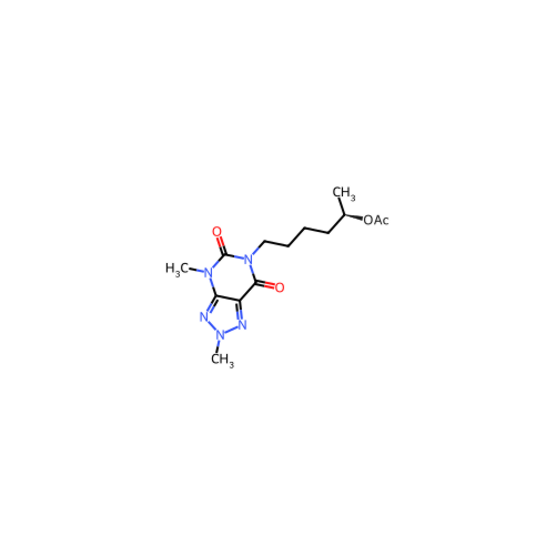 CC(=O)O[C@H](C)CCCCn1c(=O)c2nn(C)nc2n(C)c1=O